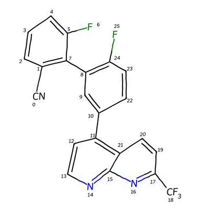 N#Cc1cccc(F)c1-c1cc(-c2ccnc3nc(C(F)(F)F)ccc23)ccc1F